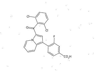 O=C(O)c1ccc(-c2cc(C(=O)c3c(Cl)cccc3Cl)n3ccccc23)c(F)c1